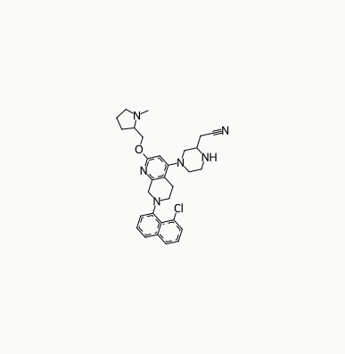 CN1CCCC1COc1cc(N2CCNC(CC#N)C2)c2c(n1)CN(c1cccc3cccc(Cl)c13)CC2